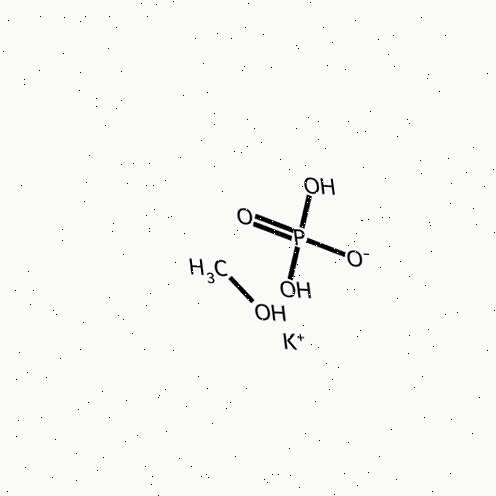 CO.O=P([O-])(O)O.[K+]